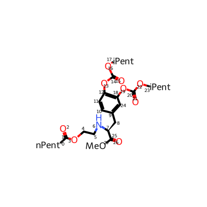 CCCCCC(=O)OCCN[C@@H](Cc1ccc(OC(=O)OC(C)CCC)c(OC(=O)OC(C)CCC)c1)C(=O)OC